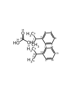 CC(C)c1ccccc1.CC(C)c1ccccc1.O=C(O)O